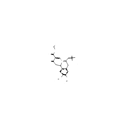 CCOC(=O)C1=CN2C(CC(F)(F)P)Cc3cc(OC)c(OC)cc3C2CC1=O